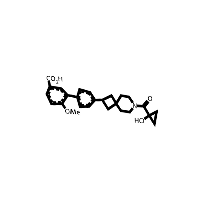 COc1ccc(C(=O)O)cc1-c1ccc(C2CC3(CCN(C(=O)C4(O)CC4)CC3)C2)cc1